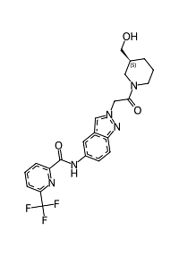 O=C(Nc1ccc2nn(CC(=O)N3CCC[C@H](CO)C3)cc2c1)c1cccc(C(F)(F)F)n1